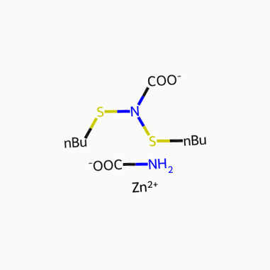 CCCCSN(SCCCC)C(=O)[O-].NC(=O)[O-].[Zn+2]